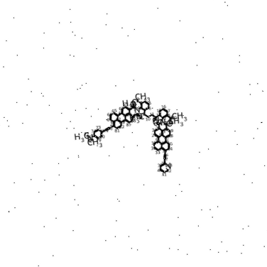 CC(C)c1cccc(C(C)CCC(C)c2cccc(C(C)C)c2N2C(=O)c3ccc4c5cccc6c(C#Cc7ccccn7)ccc(c7ccc(c3c47)C2=O)c65)c1N1C(=O)c2ccc3c4cccc5c(C#Cc6ccc(N(C)C)cc6)ccc(c6ccc(c2c36)C1=O)c54